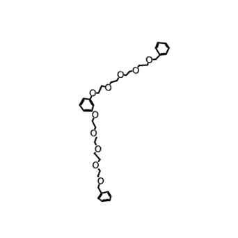 c1ccc(COCCOCCOCCOCCOc2cccc(OCCOCCOCCOCCOCc3ccccc3)c2)cc1